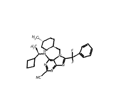 C[C@@H](Nc1nc(C#N)nc2nc(C(F)(F)c3ccccc3)n(C[C@H]3CC[C@H](C)CC3)c12)C1CCC1